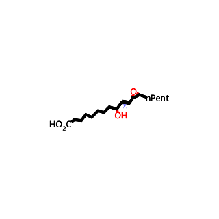 CCCCCC1OC1/C=C/C(O)CCCCCCCC(=O)O